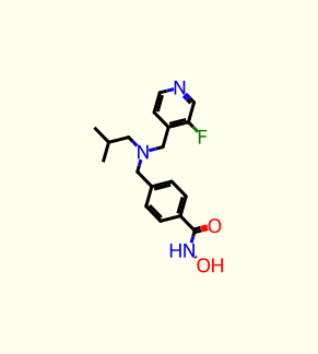 CC(C)CN(Cc1ccc(C(=O)NO)cc1)Cc1ccncc1F